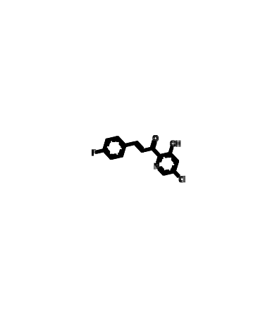 O=C(/C=C/c1ccc(F)cc1)c1ncc(Cl)cc1O